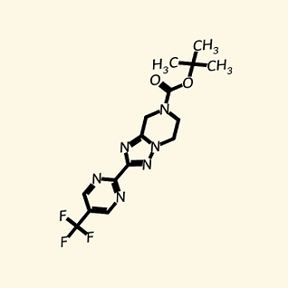 CC(C)(C)OC(=O)N1CCn2nc(-c3ncc(C(F)(F)F)cn3)nc2C1